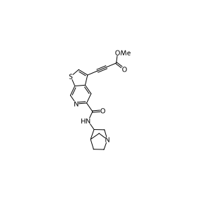 COC(=O)C#Cc1csc2cnc(C(=O)NC3CN4CCC3C4)cc12